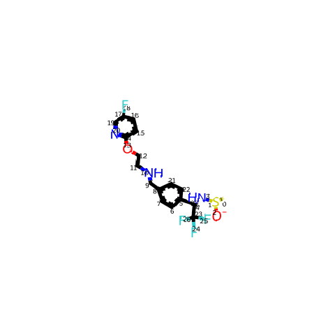 C[S+]([O-])N[C@@H](c1ccc(CNCCOc2ccc(F)cn2)cc1)C(F)(F)F